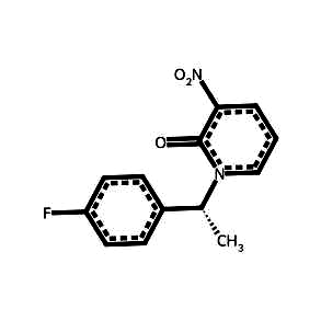 C[C@H](c1ccc(F)cc1)n1cccc([N+](=O)[O-])c1=O